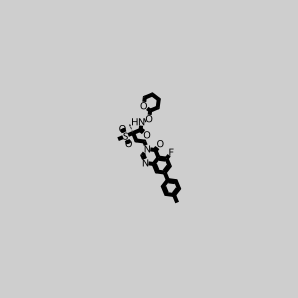 Cc1ccc(-c2cc(F)c3c(=O)n(CC[C@](C)(C(=O)NOC4CCCCO4)S(C)(=O)=O)cnc3c2)cc1